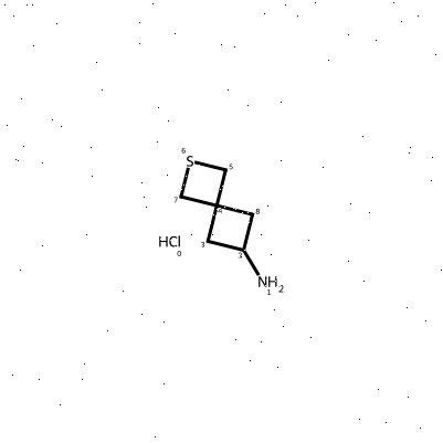 Cl.NC1CC2(CSC2)C1